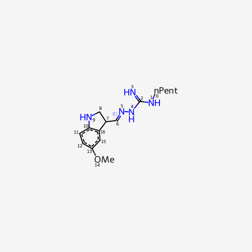 CCCCCNC(=N)N/N=C/C1CNc2ccc(OC)cc21